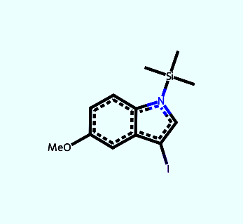 COc1ccc2c(c1)c(I)cn2[Si](C)(C)C